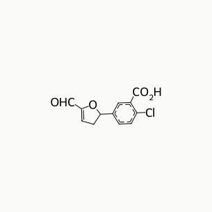 O=CC1=CCC(c2ccc(Cl)c(C(=O)O)c2)O1